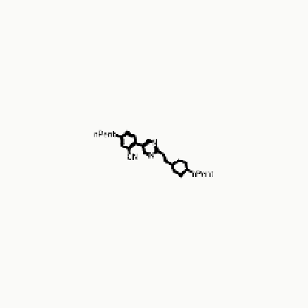 CCCCCc1ccc(-c2cnc(CCC3CCC(CCCCC)CC3)nc2)c(C#N)c1